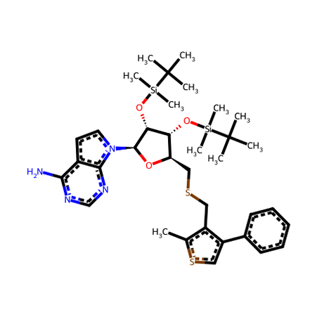 Cc1scc(-c2ccccc2)c1CSC[C@H]1O[C@@H](n2ccc3c(N)ncnc32)[C@H](O[Si](C)(C)C(C)(C)C)[C@@H]1O[Si](C)(C)C(C)(C)C